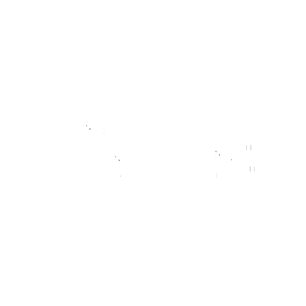 CC(C)(C)N1CCC(Oc2ccc3c(c2)CCC(=O)N3c2cc3ccccc3[nH]c2=O)CC1